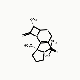 CO[C@H]1C(=O)N2C([C@]3(C(=O)O)CCCN3C(N)=O)=C(COC(C)=O)CSC12